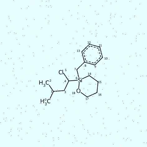 CC(C)CC(Cl)[Si]1(Cc2ccccc2)CCCCO1